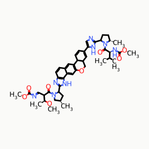 COC(=O)/N=C/C(C(=O)N1C[C@@H](C)CC1c1nc2ccc3cc4c(cc3c2[nH]1)OCC1C=C(c2cnc(C3CC[C@H](C)N3C(=O)[C@@H](NC(=O)OC)C(C)C)[nH]2)C=CC41)[C@H](C)OC